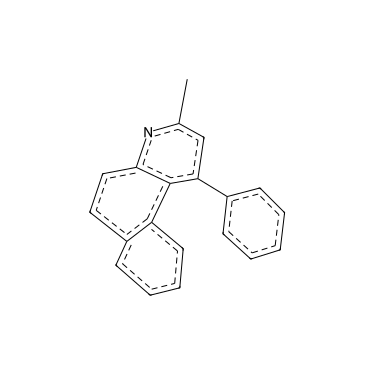 Cc1cc(-c2ccccc2)c2c(ccc3ccccc32)n1